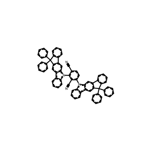 N#Cc1ccc(-n2c3ccccc3c3cc4c(cc32)-c2ccccc2C4(c2ccccc2)c2ccccc2)c(C#N)c1-n1c2ccccc2c2cc3c(cc21)-c1ccccc1C3(c1ccccc1)c1ccccc1